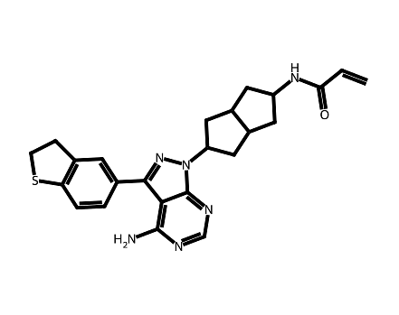 C=CC(=O)NC1CC2CC(n3nc(-c4ccc5c(c4)CCS5)c4c(N)ncnc43)CC2C1